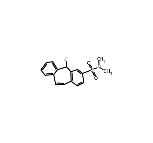 CN(C)S(=O)(=O)c1ccc2c(c1)C(Cl)c1ccccc1C=C2